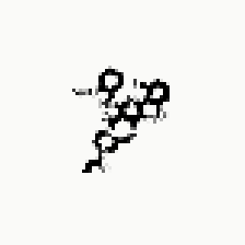 C=CC(=O)N1CCN2C(=O)c3c(NC4CCCCC4OC)nc(-c4c(O)cccc4F)c(Cl)c3OCC2C1